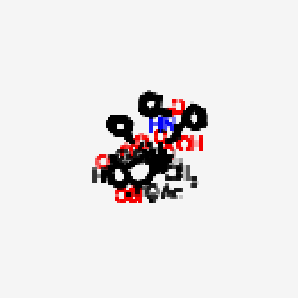 CC(=O)O[C@H]1C(=O)[C@@]2(C)C([C@@H](OC(=O)c3ccccc3)[C@]3(C)C[C@@H](OC(=O)[C@H](O)[C@H](NC(=O)c4ccccc4)c4ccccc4)C(C)=C1C3(C)C)[C@@]1(OC(C)=O)CO[C@@H]1C[C@@H]2O